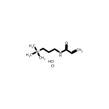 C=CC(=O)NCCC[N+](C)(C)C.Cl.[Cl-]